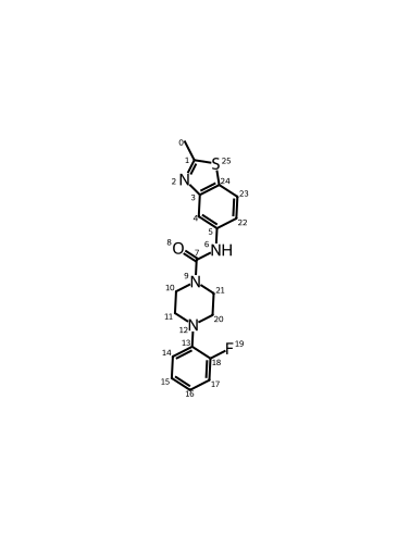 Cc1nc2cc(NC(=O)N3CCN(c4ccccc4F)CC3)ccc2s1